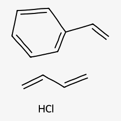 C=CC=C.C=Cc1ccccc1.Cl